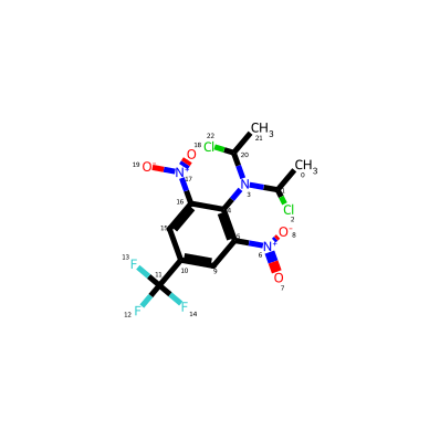 CC(Cl)N(c1c([N+](=O)[O-])cc(C(F)(F)F)cc1[N+](=O)[O-])C(C)Cl